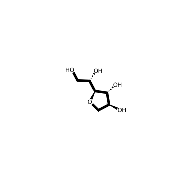 OC[C@H](O)[C@@H]1O[CH][C@H](O)[C@H]1O